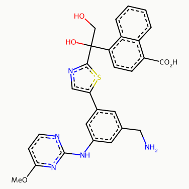 COc1ccnc(Nc2cc(CN)cc(-c3cnc(C(O)(CO)c4ccc(C(=O)O)c5ccccc45)s3)c2)n1